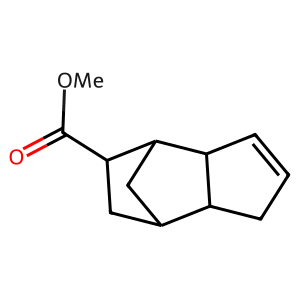 COC(=O)C1CC2CC1C1C=CCC21